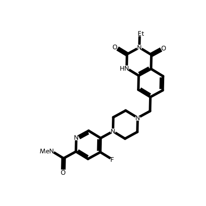 CCn1c(=O)[nH]c2cc(CN3CCN(c4cnc(C(=O)NC)cc4F)CC3)ccc2c1=O